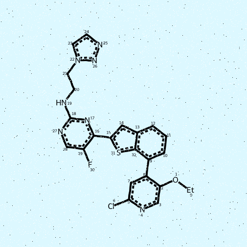 CCOc1cnc(Cl)cc1-c1cccc2cc(-c3nc(NCCn4ccnn4)ncc3F)sc12